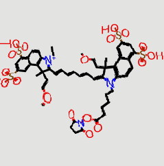 CC[N+]1=C(/C=C/C=C/C=C/C=C2/N(CCCCCC(=O)ON3C(=O)CCC3=O)c3ccc4c(S(=O)(=O)O)cc(S(=O)(=O)O)cc4c3C2(C)CCOC)C(C)(CCOC)c2c1ccc1c(S(=O)(=O)O)cc(S(=O)(=O)O)cc21